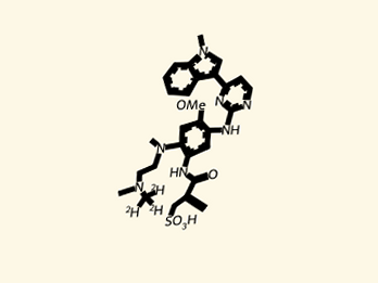 [2H]C([2H])([2H])N(C)CCN(C)c1cc(OC)c(Nc2nccc(-c3cn(C)c4ccccc34)n2)cc1NC(=O)C(=C)CS(=O)(=O)O